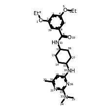 CCOc1cc(OCC)cc(C(=O)NC2CCC(Nc3cc(C)nc(N(C)C)n3)CC2)c1